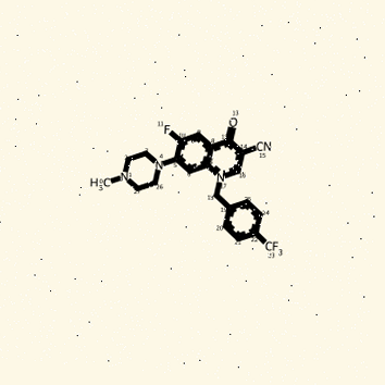 CN1CCN(c2cc3c(cc2F)c(=O)c(C#N)cn3Cc2ccc(C(F)(F)F)cc2)CC1